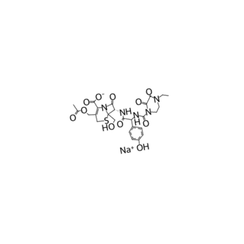 CCN1CCN(C(=O)NC(C(=O)N[C@H]2C(=O)N3C(C(=O)[O-])=C(COC(C)=O)CSC23CO)c2ccc(O)cc2)C(=O)C1=O.[Na+]